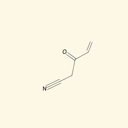 C=CC(=O)CC#N